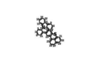 c1ccc(-n2c3ccccc3c3ccccc32)c(-c2ccc3c(c2)-c2cccc4cccc(c24)S3)c1